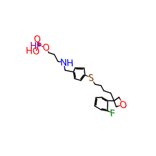 O=[PH](O)OCCCNCc1ccc(SCCCCC2(c3ccccc3F)COC2)cc1